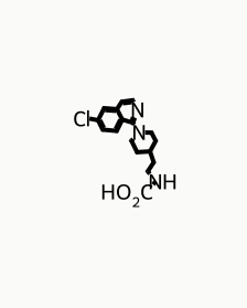 O=C(O)NCCC1CCN(c2nccc3cc(Cl)ccc23)CC1